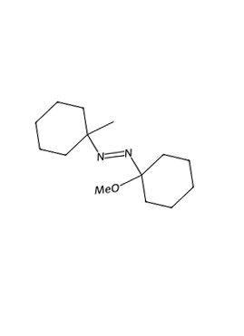 COC1(/N=N/C2(C)CCCCC2)CCCCC1